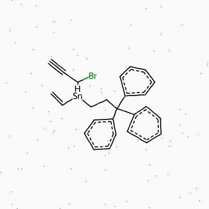 C#C[CH](Br)[SnH]([CH]=C)[CH2]CC(c1ccccc1)(c1ccccc1)c1ccccc1